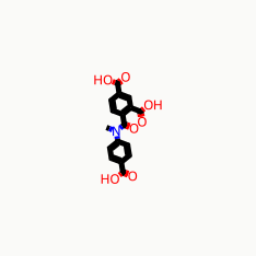 CN(C(=O)c1ccc(C(=O)O)cc1C(=O)O)c1ccc(C(=O)O)cc1